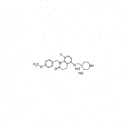 COc1ccc(CN2C(=O)CCc3c(OC[C@@]4(O)CCNC[C@@H]4O)ccc(F)c32)cc1